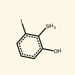 Oc1cccc(I)c1[SiH3]